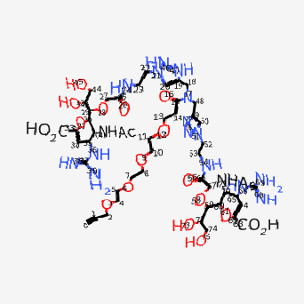 C#CCOCCOCCOCCOCCC(=O)N(CC1=CN(CCNC(=O)CO[C@@H]([C@@H]2OC(C(=O)O)=C[C@H](NC(=N)N)[C@H]2NC(C)=O)[C@H](O)CO)NN1)Cc1cn(CCNC(=O)CO[C@@H]([C@@H]2OC(C(=O)O)=C[C@H](NC(=N)N)[C@H]2NC(C)=O)[C@H](O)CO)nn1